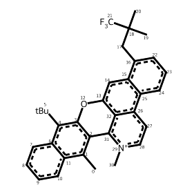 Cc1c2c(c(C(C)(C)C)c3ccccc13)Oc1cc3c(CC(C)(C)C(F)(F)F)cccc3c3cc[n+](C)c-2c13